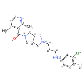 Cc1ccnc(C)c1C(=O)N1CC2CN(CCCNc3ccc(Cl)c(Cl)c3)CC2C1